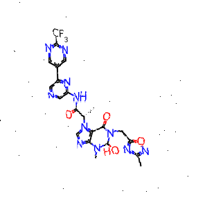 Cc1noc(CN2C(=O)c3c(ncn3[C@@H](C)C(=O)Nc3cncc(-c4cnc(C(F)(F)F)nc4)n3)N(C)C2O)n1